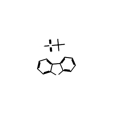 O=S(=O)(O)C(F)(F)F.c1ccc2c(c1)sc1ccccc12